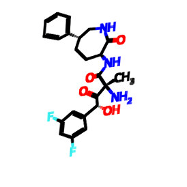 C[C@](N)(C(=O)N[C@H]1CC[C@H](c2ccccc2)CNC1=O)C(=O)[C@H](O)c1cc(F)cc(F)c1